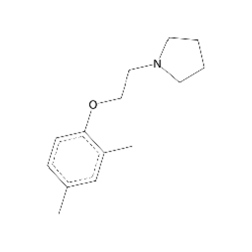 Cc1ccc(OCCN2CCCC2)c(C)c1